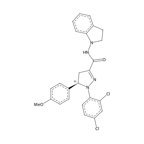 COc1ccc([C@H]2CC(C(=O)NN3CCc4ccccc43)=NN2c2ccc(Cl)cc2Cl)cc1